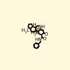 C[C@@]12CCC[C@H]1[C@@H]1CNC3=CC(=O)C(C(=O)NCc4ccccc4)C[C@]3(C)[C@@H]1CC2